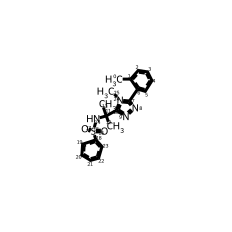 Cc1ccccc1-c1nnc(C(C)(C)NS(=O)(=O)c2ccccc2)n1C